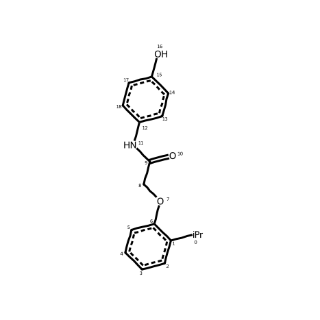 CC(C)c1ccccc1OCC(=O)Nc1ccc(O)cc1